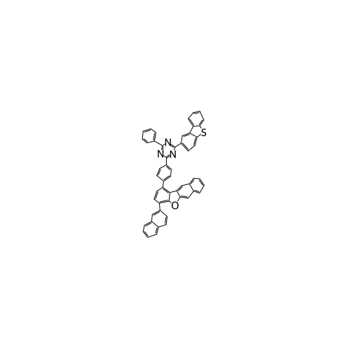 c1ccc(-c2nc(-c3ccc(-c4ccc(-c5ccc6ccccc6c5)c5oc6cc7ccccc7cc6c45)cc3)nc(-c3ccc4sc5ccccc5c4c3)n2)cc1